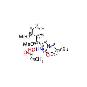 CCC(=O)O.CCCCC(CC)CN1CC(=C(OC)c2ccccc2OC)NC1=O